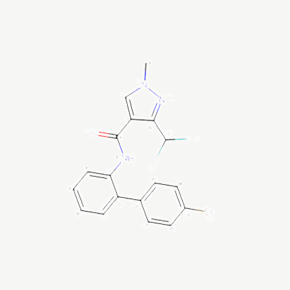 Cn1cc(C(=O)Nc2ccccc2-c2ccc(Br)cc2)c(C(F)F)n1